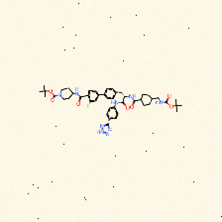 CC(C)(C)OC(=O)NCC1CCC(C(=O)N[C@@H](Cc2ccc(-c3ccc(C(=O)NC4CCN(C(=O)OC(C)(C)C)CC4)c(F)c3)cc2)C(=O)Nc2ccc(-c3nn[nH]n3)cc2)CC1